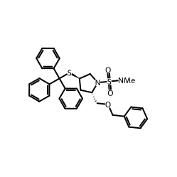 CNS(=O)(=O)N1C[C@H](SC(c2ccccc2)(c2ccccc2)c2ccccc2)C[C@H]1COCc1ccccc1